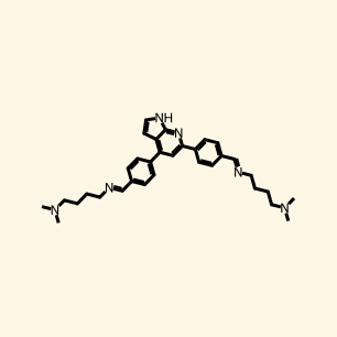 CN(C)CCCCN=Cc1ccc(-c2cc(-c3ccc(C=NCCCCN(C)C)cc3)c3cc[nH]c3n2)cc1